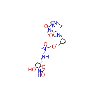 CN(CCNCCc1ccc(O)c2c1OCC(=O)N2)C(=O)CCOCCc1cccc(CN2CCC3(CC2)CN(C(=O)c2ccn(CC4CC4)n2)CCO3)c1